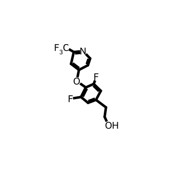 OCCc1cc(F)c(Oc2ccnc(C(F)(F)F)c2)c(F)c1